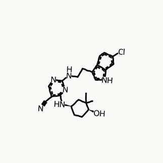 CC1(C)C[C@H](Nc2nc(NCCc3c[nH]c4cc(Cl)ccc34)ncc2C#N)CC[C@@H]1O